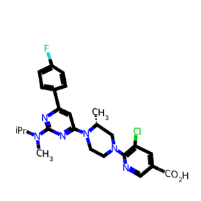 CC(C)N(C)c1nc(-c2ccc(F)cc2)cc(N2CCN(c3ncc(C(=O)O)cc3Cl)C[C@H]2C)n1